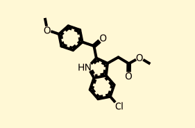 COC(=O)Cc1c(C(=O)c2ccc(OC)cc2)[nH]c2ccc(Cl)cc12